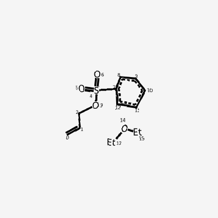 C=CCOS(=O)(=O)c1ccccc1.CCOCC